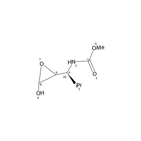 COC(=O)N[C@@H](C(C)C)C1OC1O